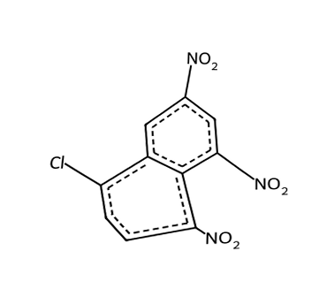 O=[N+]([O-])c1cc([N+](=O)[O-])c2c([N+](=O)[O-])ccc(Cl)c2c1